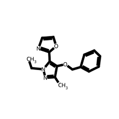 CCn1nc(C)c(OCc2ccccc2)c1-c1ncco1